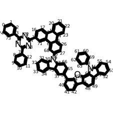 c1ccc(-c2nc(-c3ccccc3)nc(-c3ccc4c5ccccc5c5ccc(-n6c7ccccc7c7cc(-c8cccc9c8oc8c9ccc9c%10ccccc%10n(-c%10ccccc%10)c98)ccc76)cc5c4c3)n2)cc1